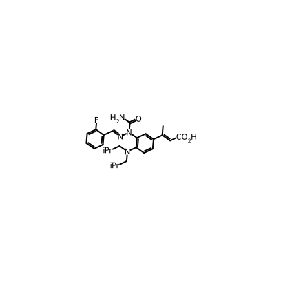 C/C(=C\C(=O)O)c1ccc(N(CC(C)C)CC(C)C)c(N(/N=C/c2ccccc2F)C(N)=O)c1